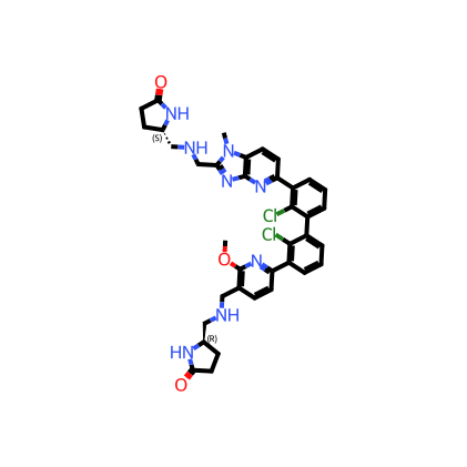 COc1nc(-c2cccc(-c3cccc(-c4ccc5c(n4)nc(CNC[C@@H]4CCC(=O)N4)n5C)c3Cl)c2Cl)ccc1CNC[C@H]1CCC(=O)N1